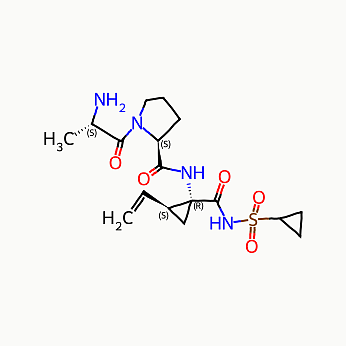 C=C[C@@H]1C[C@]1(NC(=O)[C@@H]1CCCN1C(=O)[C@H](C)N)C(=O)NS(=O)(=O)C1CC1